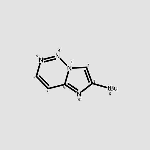 CC(C)(C)c1cn2nnccc2n1